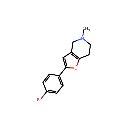 CN1CCc2oc(-c3ccc(Br)cc3)cc2C1